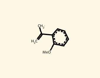 [CH2]C(=C)c1ccccc1OC